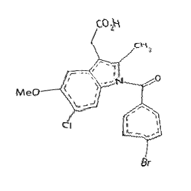 COc1cc2c(CC(=O)O)c(C)n(C(=O)c3ccc(Br)cc3)c2cc1Cl